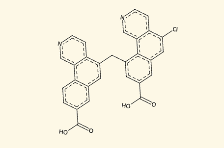 O=C(O)c1ccc2c(c1)cc(Cc1cc(C(=O)O)cc3cc(Cl)c4ccncc4c13)c1ccncc12